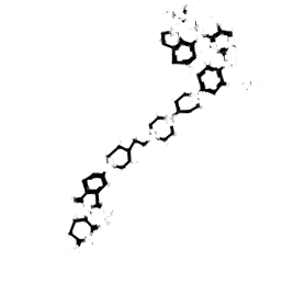 COc1cc(N2CCC(N3CCN(CCC4CCN(c5ccc6c(c5)C(=O)N(C5CCC(=O)NC5=O)C6=O)CC4)CC3)CC2)ccc1Nc1ncc(Cl)c(Nc2cccc3c2N(S(C)(=O)=O)CC3)n1